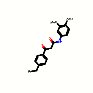 COc1ccc(NC(=O)CC(=O)c2ccc(CC(C)C)cc2)cc1OC